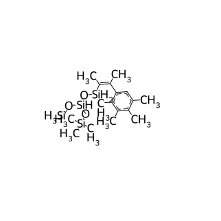 CC([SiH2]O[SiH](O[SiH3])O[Si](C)(C)C)=C(C)c1cc(C)c(C)c(C)c1C